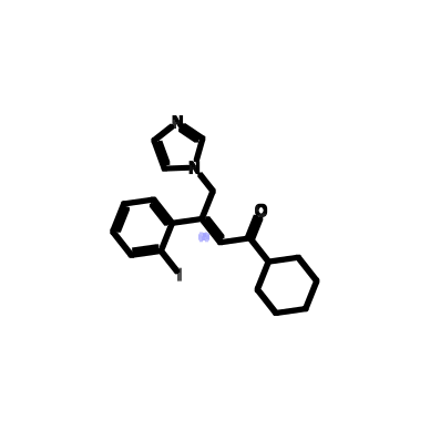 O=C(/C=C(\Cn1ccnc1)c1ccccc1I)C1CCCCC1